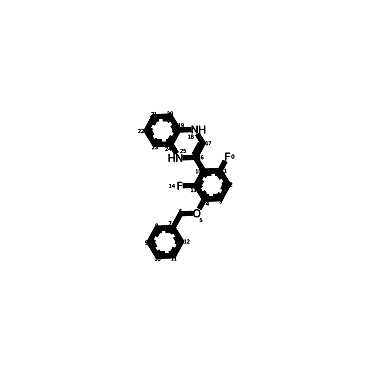 Fc1ccc(OCc2ccccc2)c(F)c1C1=CNc2c[c]ccc2N1